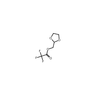 O=C(OCC1OCCO1)C(F)(F)F